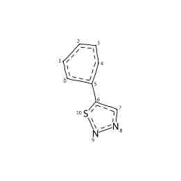 [c]1ccccc1-c1cnns1